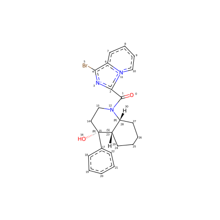 O=C(c1nc(Br)c2ccccn12)N1CC[C@](O)(c2ccccc2)[C@H]2CCCC[C@H]21